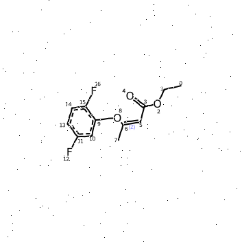 CCOC(=O)/C=C(/C)Oc1cc(F)ccc1F